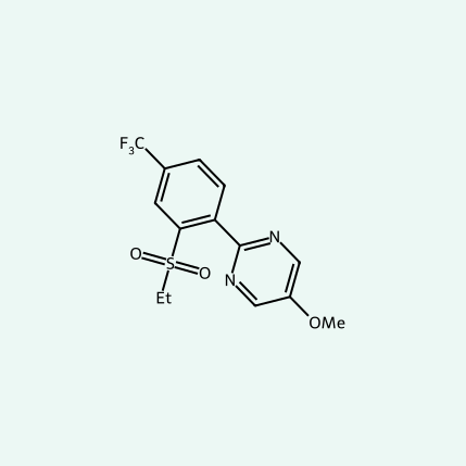 CCS(=O)(=O)c1cc(C(F)(F)F)ccc1-c1ncc(OC)cn1